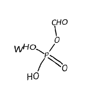 O=COP(=O)(O)O.[W]